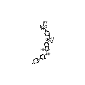 CC(C)c1nnc(-c2ccc(NS(=O)(=O)c3ccc4[nH]c(Nc5ccc(N6CCN(C)CC6)cc5)nc4c3)cc2)o1